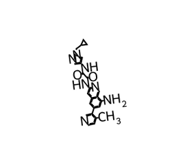 Cc1ccncc1-c1cc(N)c2cnc(NC(=O)C(=O)Nc3cnn(CC4CC4)c3)cc2c1